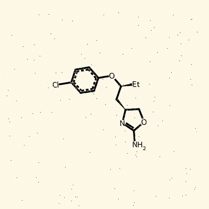 CC[C@@H](C[C@H]1COC(N)=N1)Oc1ccc(Cl)cc1